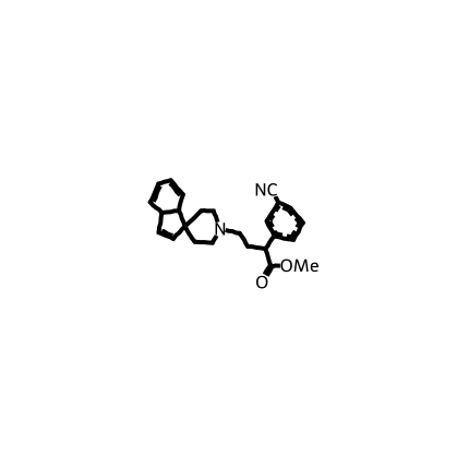 COC(=O)C(CCN1CCC2(C=CC3C=CC=CC32)CC1)c1cccc(C#N)c1